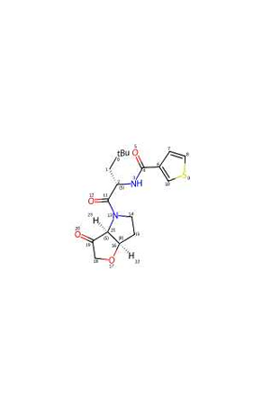 CC(C)(C)C[C@H](NC(=O)c1ccsc1)C(=O)N1CC[C@H]2OCC(=O)[C@H]21